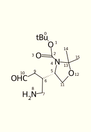 CC(C)(C)OC(=O)N1[C@@H](C(CN)CC=O)COC1(C)C